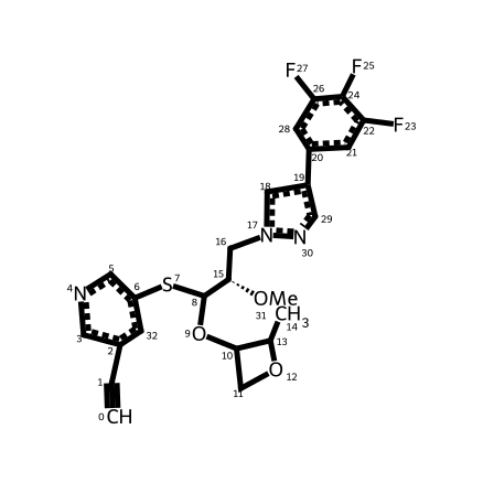 C#Cc1cncc(SC(OC2COC2C)[C@H](Cn2cc(-c3cc(F)c(F)c(F)c3)cn2)OC)c1